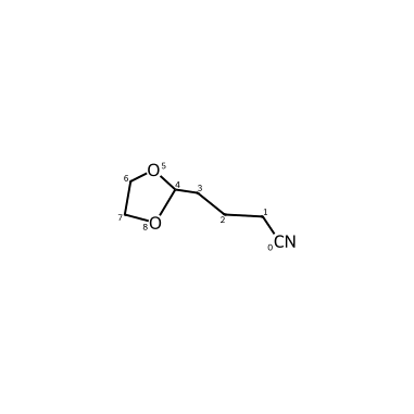 N#CCCCC1OCCO1